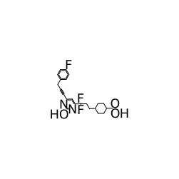 O=C(O)C1CCC(CCC(F)(F)c2cc(C#CCc3ccc(F)cc3)nc(O)n2)CC1